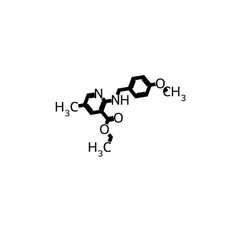 CCOC(=O)c1cc(C)cnc1NCc1ccc(OC)cc1